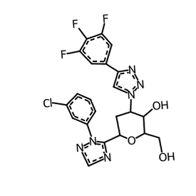 OCC1OC(c2ncnn2-c2cccc(Cl)c2)CC(n2cc(-c3cc(F)c(F)c(F)c3)nn2)C1O